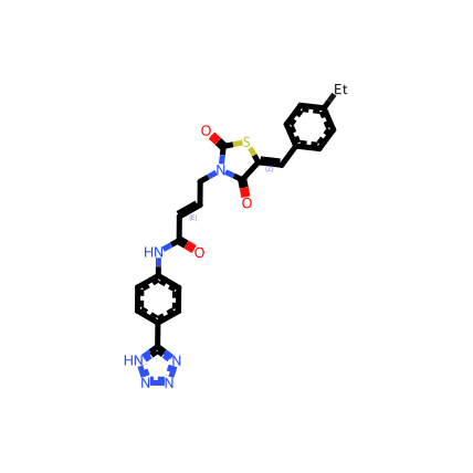 CCc1ccc(/C=C2\SC(=O)N(C/C=C/C(=O)Nc3ccc(-c4nnn[nH]4)cc3)C2=O)cc1